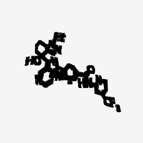 CCn1ncc2c1CCCC2(O)C1=C2C=NC=C[N+]2(N)C(c2ccc(C(=O)Nc3cc(C(F)(F)F)ccn3)cc2)=N1